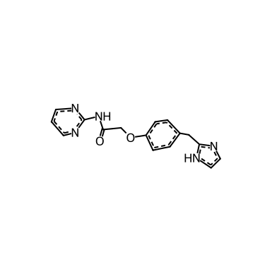 O=C(COc1ccc(Cc2ncc[nH]2)cc1)Nc1ncccn1